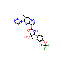 Cc1cn2ncc(C(=O)NC(c3ccc(OC(F)(F)F)cc3)C(C)(C)O)c2nc1-n1ccnn1